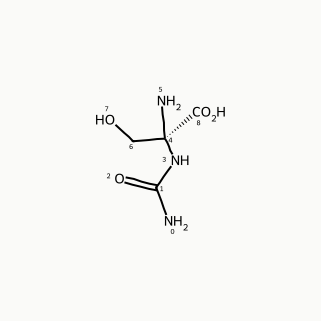 NC(=O)N[C@](N)(CO)C(=O)O